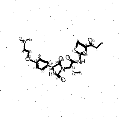 CCC(=O)c1csc(NC(=O)[C@H](CC)N2C(=O)N[C@@H](c3ccc(OCCN(C)C)cc3)C2=O)n1